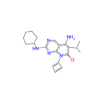 CC(C)c1c(N)c2cnc(NC3CCCCC3)nc2n(C2=CC=C2)c1=O